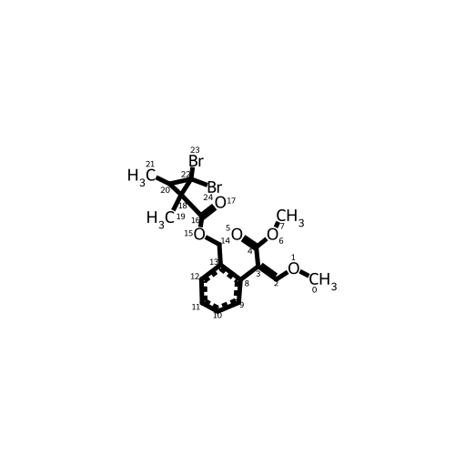 COC=C(C(=O)OC)c1ccccc1COC(=O)C1(C)C(C)C1(Br)Br